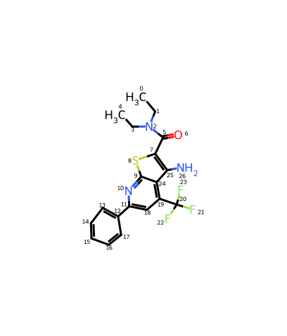 CCN(CC)C(=O)c1sc2nc(-c3ccccc3)cc(C(F)(F)F)c2c1N